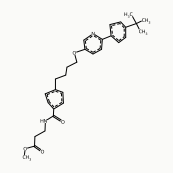 COC(=O)CCNC(=O)c1ccc(CCCCOc2ccc(-c3ccc(C(C)(C)C)cc3)nc2)cc1